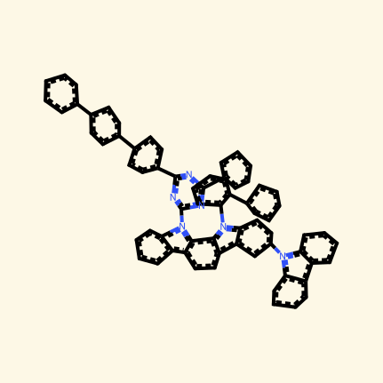 c1ccc(-c2ccc(-c3ccc(-c4nc(-c5ccccc5)nc(-n5c6ccccc6c6ccc7c8cc(-n9c%10ccccc%10c%10ccccc%109)ccc8n(-c8ccccc8-c8ccccc8)c7c65)n4)cc3)cc2)cc1